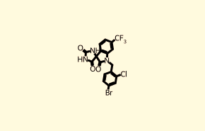 O=C1NC(=O)C2(N1)C(=O)N(Cc1ccc(Br)cc1Cl)c1cc(C(F)(F)F)ccc12